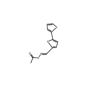 CC(=O)O/N=C/c1ccc(-c2cccs2)s1